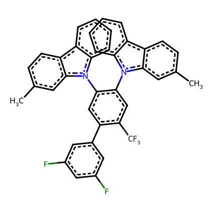 Cc1ccc2c3ccccc3n(-c3cc(-c4cc(F)cc(F)c4)c(C(F)(F)F)cc3-n3c4ccccc4c4ccc(C)cc43)c2c1